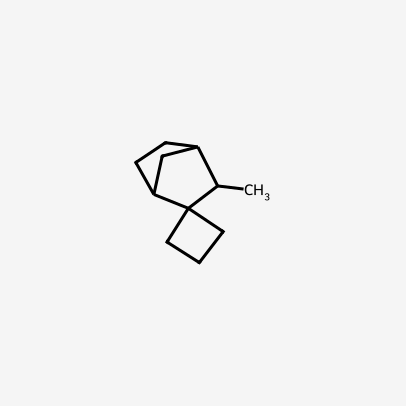 CC1C2CCC(C2)C12CCC2